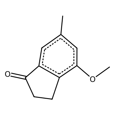 COc1cc(C)cc2c1CCC2=O